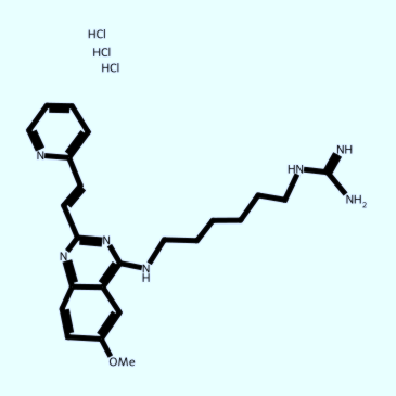 COc1ccc2nc(C=Cc3ccccn3)nc(NCCCCCCNC(=N)N)c2c1.Cl.Cl.Cl